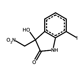 O=C1Nc2c(I)cccc2C1(O)C[N+](=O)[O-]